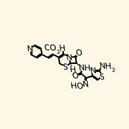 Nc1nc(/C(=N/O)C(=O)N[C@@H]2C(=O)N3C(C(=O)O)=C(/C=C/c4ccncc4)CS[C@H]23)cs1